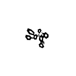 c1ccc(-c2ccc(N(c3ccccc3)c3cc4c5ccccc5oc4c4c3sc3ccccc34)cc2-c2ccccc2)cc1